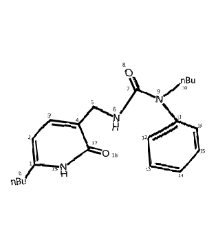 CCCCc1ccc(CNC(=O)N(CCCC)c2ccccc2)c(=O)[nH]1